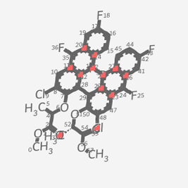 COC(=O)C(C)Oc1c(Cl)ccc(P(c2ccc(F)cc2)c2ccc(F)cc2)c1-c1c(P(c2ccc(F)cc2)c2ccc(F)cc2)ccc(Cl)c1O[C@@H](C)C(=O)OC